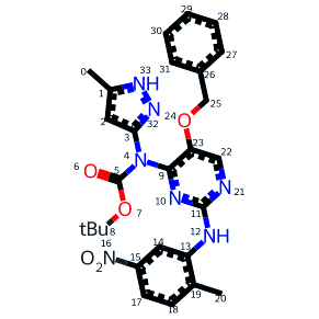 Cc1cc(N(C(=O)OC(C)(C)C)c2nc(Nc3cc([N+](=O)[O-])ccc3C)ncc2OCc2ccccc2)n[nH]1